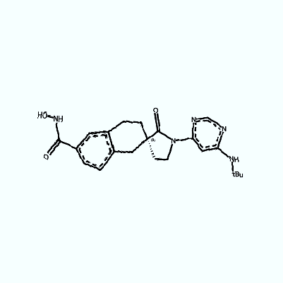 CC(C)(C)Nc1cc(N2CC[C@]3(CCc4cc(C(=O)NO)ccc4C3)C2=O)ncn1